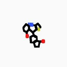 O=C1CCCC2=C1C(c1ccc3c(c1)C(=O)CC3)C1=C(CCS1)N2